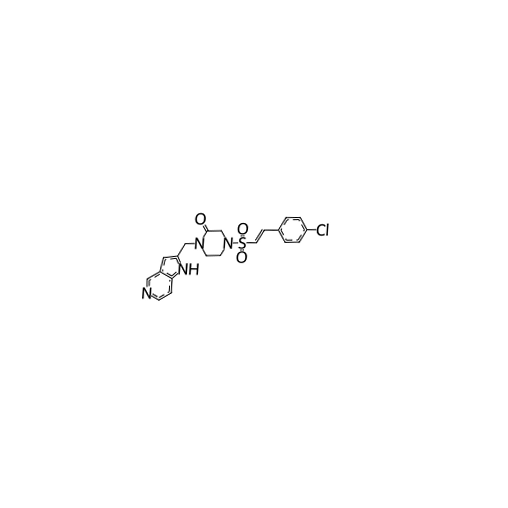 O=C1CN(S(=O)(=O)/C=C/c2ccc(Cl)cc2)CCN1Cc1cc2cnccc2[nH]1